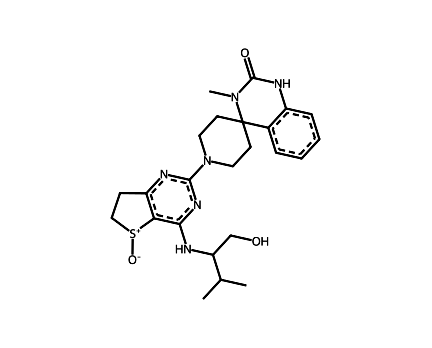 CC(C)C(CO)Nc1nc(N2CCC3(CC2)c2ccccc2NC(=O)N3C)nc2c1[S+]([O-])CC2